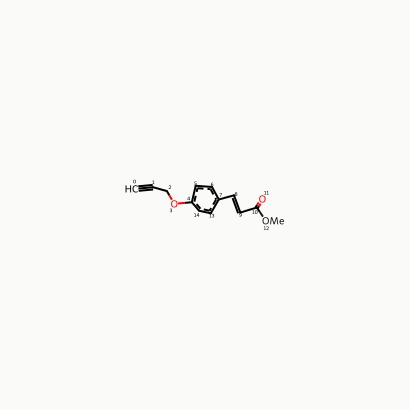 C#CCOc1ccc(C=CC(=O)OC)cc1